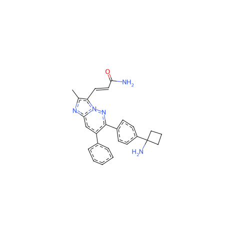 Cc1nc2cc(-c3ccccc3)c(-c3ccc(C4(N)CCC4)cc3)nn2c1C=CC(N)=O